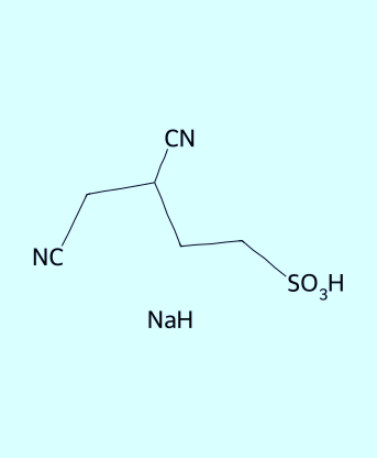 N#CCC(C#N)CCS(=O)(=O)O.[NaH]